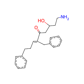 NCCC(O)CC(=O)/C(=C/CCc1ccccc1)Cc1ccccc1